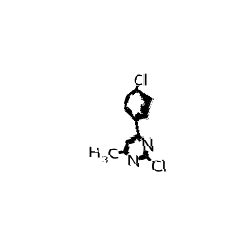 Cc1cc(-c2ccc(Cl)cc2)nc(Cl)n1